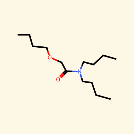 CCCCOCC(=O)N(CCCC)CCCC